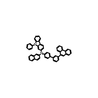 c1ccc(-n2c3ccccc3c3ccc(N(c4ccc(-c5cccc(-c6cc7ccccc7c7ccccc67)c5)cc4)c4ccc5ccccc5c4)cc32)cc1